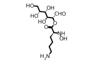 NCCCC[C@H](NO)C(=O)O[C@@H](C=O)[C@@H](O)[C@@H](O)[C@H](O)CO